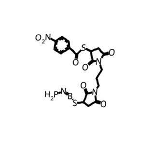 O=C(SC1CC(=O)N(CCCN2C(=O)CC(S/B=N/P)C2=O)C1=O)c1ccc([N+](=O)[O-])cc1